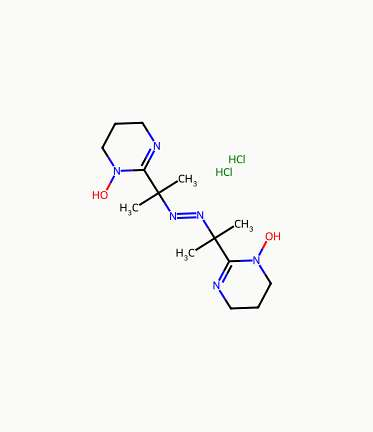 CC(C)(N=NC(C)(C)C1=NCCCN1O)C1=NCCCN1O.Cl.Cl